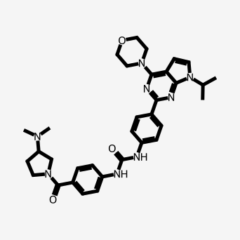 CC(C)n1ccc2c(N3CCOCC3)nc(-c3ccc(NC(=O)Nc4ccc(C(=O)N5CCC(N(C)C)C5)cc4)cc3)nc21